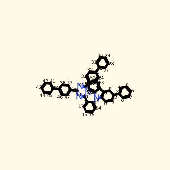 C1=CC(c2ccccc2)Cc2c1n(-c1ccccc1-c1nc(-c3ccc(-c4ccccc4)cc3)nc(-c3ccc(-c4ccccc4)cc3)n1)c1ccccc21